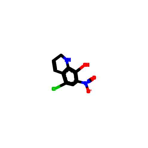 O=[N+]([O-])c1cc(Cl)c2c(c1O)NCC=C2